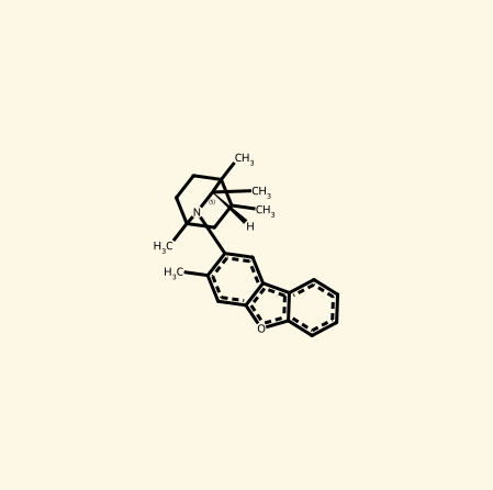 Cc1cc2oc3ccccc3c2cc1N1[C@@H](C)C2(C)CCC1(C)CC2C